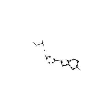 CCC(C)SSc1nnc(-c2cc3cc(Br)ccc3o2)o1